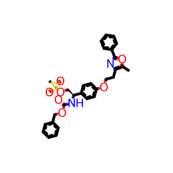 Cc1oc(-c2ccccc2)nc1CCOc1ccc([C@H](COS(C)(=O)=O)NC(=O)OCc2ccccc2)cc1